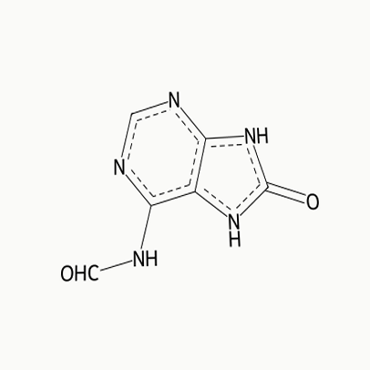 O=CNc1ncnc2[nH]c(=O)[nH]c12